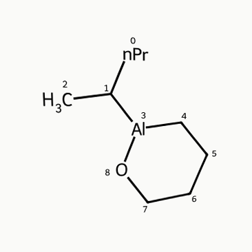 CCC[CH](C)[Al]1[CH2]CCC[O]1